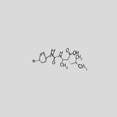 CC(C)C[C@@H](C(=O)O)C(C)NC(=O)Nc1ccc(Br)cc1